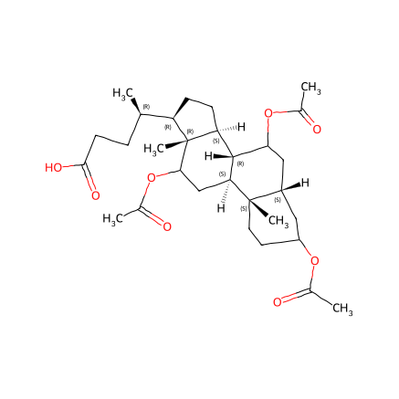 CC(=O)OC1CC[C@@]2(C)[C@@H](C1)CC(OC(C)=O)[C@@H]1[C@@H]2CC(OC(C)=O)[C@]2(C)[C@@H]([C@H](C)CCC(=O)O)CC[C@@H]12